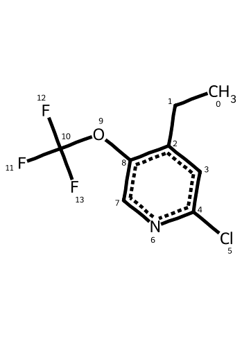 CCc1cc(Cl)ncc1OC(F)(F)F